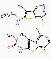 CC(C)(C)OC(=O)Nc1sc2c(F)cnc(Cl)c2c1C#N.CCOC(=O)Nc1sc2c(F)cncc2c1C#N